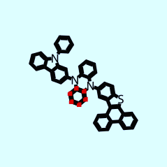 c1ccc(N(c2ccc3sc4c5ccccc5c5ccccc5c4c3c2)c2ccccc2N(c2ccccc2)c2ccc3c4ccccc4n(-c4ccccc4)c3c2)cc1